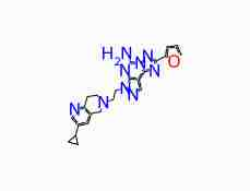 Nc1nc2c(cnn2CCN2CCc3ncc(C4CC4)cc3C2)c2nc(-c3ccco3)nn12